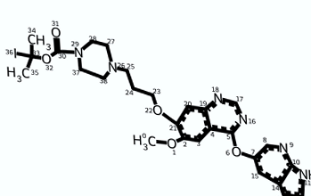 COc1cc2c(Oc3cnc4[nH]ccc4c3)ncnc2cc1OCCCN1CCN(C(=O)OC(C)(C)I)CC1